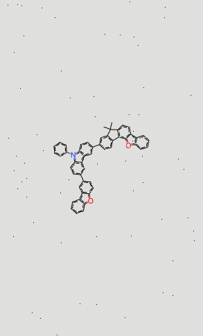 CC1(C)c2cc(-c3ccc4c(c3)c3cc(-c5ccc6oc7ccccc7c6c5)ccc3n4-c3ccccc3)ccc2-c2c1ccc1c2oc2ccccc21